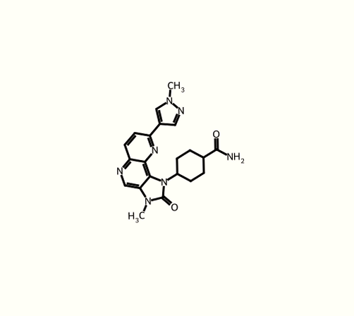 Cn1cc(-c2ccc3ncc4c(c3n2)n(C2CCC(C(N)=O)CC2)c(=O)n4C)cn1